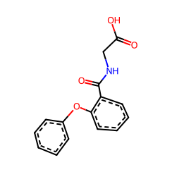 O=C(O)CNC(=O)c1ccccc1Oc1ccccc1